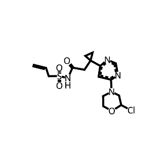 C=CCS(=O)(=O)NC(=O)CC1(c2cc(N3CCOC(Cl)C3)ncn2)CC1